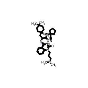 CN(C)CCCn1c(=O)[nH]/c(=N\C(CC2(C)CCC(C)(C)CC2)C(=O)NC2(C#N)CCCC2)c2ccccc21